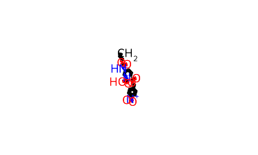 C=CCOC(=O)N[C@H]1CC[C@H](C(=O)OCc2ccc([N+](=O)[O-])cc2)N(C(=O)O)C1